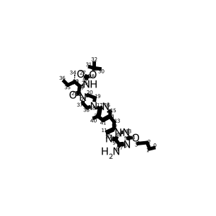 CCCCOc1nc(N)c2ncc(Cc3cnc(N4CCN(C(=O)[C@@H](NC(=O)OC(C)(C)C)[C@@H](C)CC)CC4)c(C)c3)n2n1